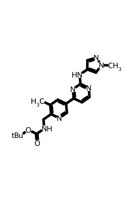 Cc1cc(-c2ccnc(Nc3cnn(C)c3)n2)cnc1CNC(=O)OC(C)(C)C